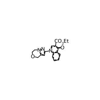 CCOC(=O)c1cn(-c2cc3n(n2)CCOC3)c2ccccc2c1=O